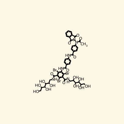 CC(=O)N(c1ccc(C(=O)Nc2ccc(C(=O)Nc3c(Br)c(C(=O)NCC(O)C(O)C(O)C(O)CO)c(Br)c(C(=O)NCC(O)C(O)C(O)C(O)CO)c3Br)cc2)cc1)N1C(=O)c2ccccc2C1=O